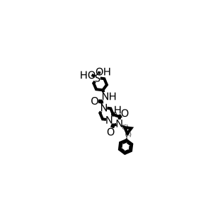 O=C(NC1CCS(O)(O)CC1)N1CCN2C(=O)N([C@H]3C[C@@H]3c3ccccc3)C(=O)[C@@H]2C1